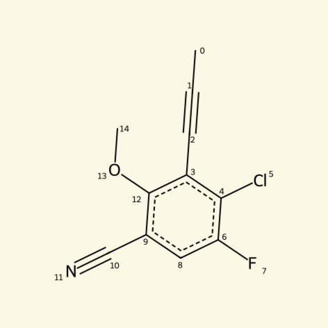 CC#Cc1c(Cl)c(F)cc(C#N)c1OC